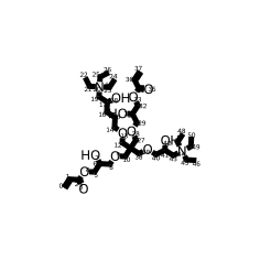 C=CC(=O)OCC(O)COCC(COCCCC(O)C[N+](CC)(CC)CC)(COCC(O)COC(=O)C=C)COCC(O)C[N+](CC)(CC)CC